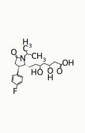 CC(C)N1C(=O)C[C@H](c2ccc(F)cc2)[C@H]1CC[C@H](O)C[C@@H](O)CC(=O)O